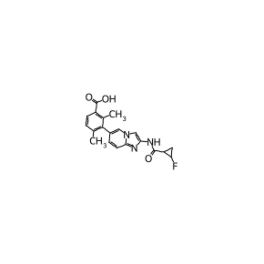 Cc1ccc(C(=O)O)c(C)c1-c1ccc2nc(NC(=O)C3CC3F)cn2c1